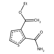 C=C(OCC)c1ccsc1C(N)=O